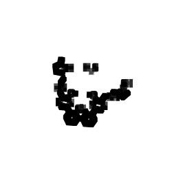 C=C1CC[C@@H](CCNCc2ncc(-c3cccc(-c4cccc(-c5cnc(CNCC6CCN6S)c(OC)n5)c4Cl)c3Cl)nc2OC)N1.S